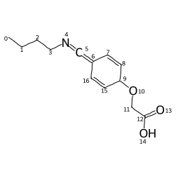 CCCCN=C=C1C=CC(OCC(=O)O)C=C1